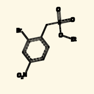 CCOS(=O)(=O)Cc1ccc([N+](=O)[O-])cc1Br